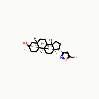 CCc1cc([C@H]2CC[C@H]3[C@@H]4CC[C@H]5C[C@](C)(O)CC[C@]5(C)[C@H]4CC[C@]23C)no1